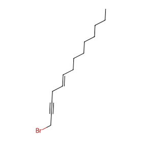 CCCCCCCCC=CCC#CCBr